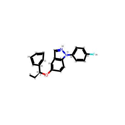 CC[C@H](Oc1ccc2c(cnn2-c2ccc(F)cc2)c1)c1ccccc1